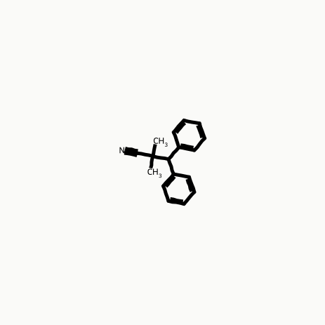 CC(C)(C#N)C(c1ccccc1)c1ccccc1